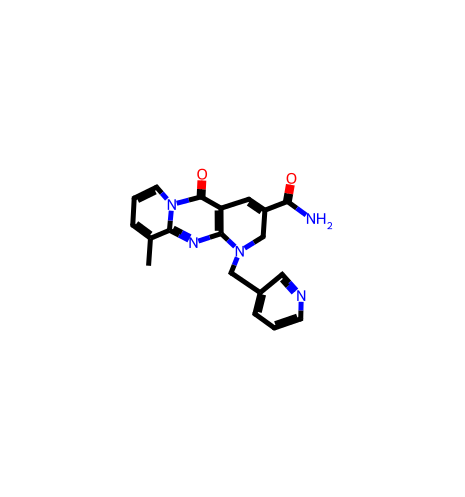 Cc1cccn2c(=O)c3c(nc12)N(Cc1cccnc1)CC(C(N)=O)=C3